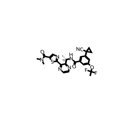 C[C@H](NC(=O)c1cc(OC(C)(F)F)cc(C2(C#N)CC2)c1)c1nccnc1-c1ncc(C(=O)N(C)C)s1